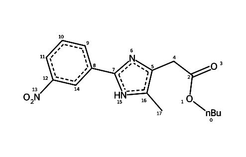 CCCCOC(=O)Cc1nc(-c2cccc([N+](=O)[O-])c2)[nH]c1C